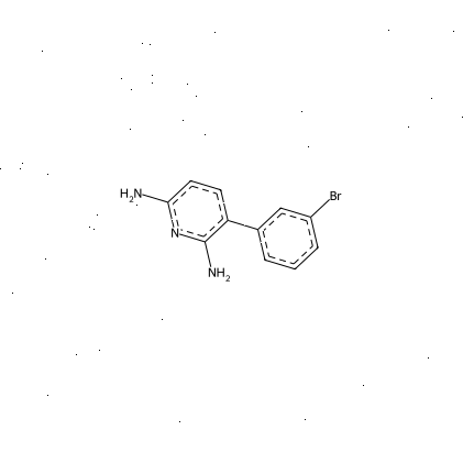 Nc1ccc(-c2cccc(Br)c2)c(N)n1